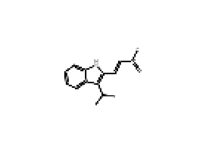 CC(C)c1c(C=C[N+](=O)[O-])[nH]c2ccccc12